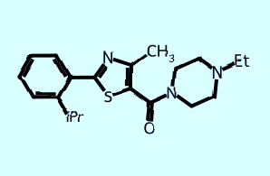 CCN1CCN(C(=O)c2sc(-c3ccccc3C(C)C)nc2C)CC1